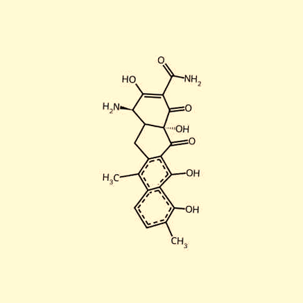 Cc1ccc2c(C)c3c(c(O)c2c1O)C(=O)[C@]1(O)C(=O)C(C(N)=O)=C(O)[C@H](N)C1C3